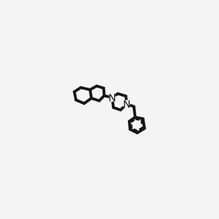 c1ccc(CN2CCN(C3CCC4CCCCC4C3)CC2)cc1